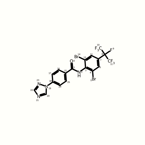 O=C(Nc1c(Br)cc(C(F)(C(F)(F)F)C(F)(F)F)cc1Br)c1ccc(-n2cncn2)cc1